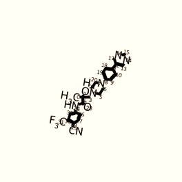 CC(O)(CN1CCN(c2ccc(-c3cncnc3)cc2)CC1)C(=O)Nc1ccc(C#N)c(C(F)(F)F)c1